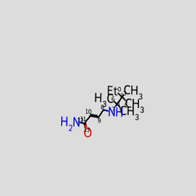 CCC(C)(C)C(C)(C)NC/C=C/C(N)=O